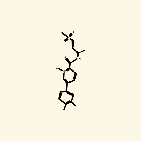 Cc1ccc(-c2ccc(C(=O)N[C@H](C)/C=C/S(C)(=O)=O)[n+]([O-])c2)cc1C